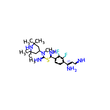 CN(C(=N)SC(=N)c1ccc(/C(N)=C/C=N)c(F)c1F)C1CC(C)(C)NC(C)(C)C1